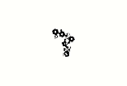 COc1ccccc1-c1ccc(C(=O)N2Cc3ccc(C(=O)N[C@@H]4CN5CCC4CC5)n3Cc3ccccc32)cc1C